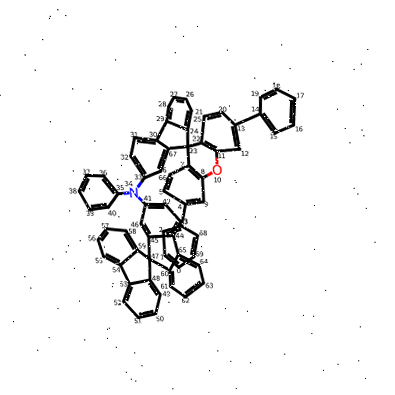 c1ccc(-c2ccc3c(c2)Oc2cc(-c4ccccc4)ccc2C32c3ccccc3-c3ccc(N(c4ccccc4)c4ccc5c(c4)C4(c6ccccc6-c6ccccc64)c4ccccc4-5)cc32)cc1